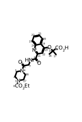 CCOC(=O)N1CCN(C(=O)CNC(=O)c2cc(OC(C)(C)C(=O)O)c3ccccc3n2)CC1